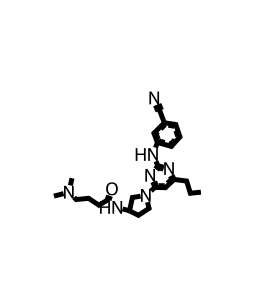 CCCc1cc(N2CCC(NC(=O)CCCN(C)C)C2)nc(Nc2cccc(C#N)c2)n1